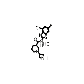 Cl.O=C(Nc1nc2c(Cl)cc(F)cc2s1)C1CCCN(C2CNC2)C1